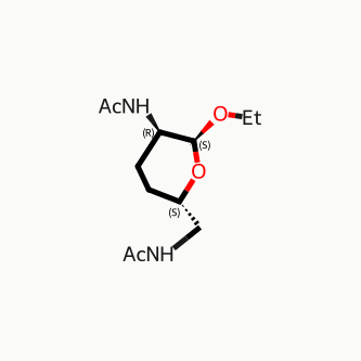 CCO[C@H]1O[C@H](CNC(C)=O)CC[C@H]1NC(C)=O